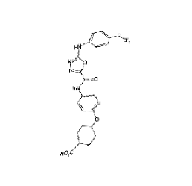 O=C(Nc1ccc(OC2CCC(C(=O)O)CC2)nc1)c1nnc(Nc2ccc(OC(F)(F)F)cc2)o1